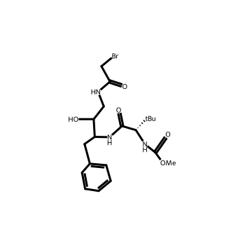 COC(=O)N[C@H](C(=O)NC(Cc1ccccc1)C(O)CNC(=O)CBr)C(C)(C)C